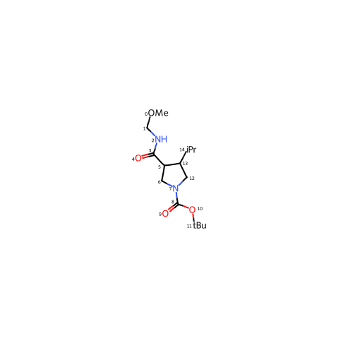 COCNC(=O)C1CN(C(=O)OC(C)(C)C)CC1C(C)C